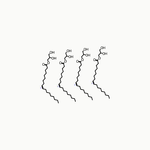 CCCCCCCC/C=C\CCCCCCCC(=O)OCC(O)CO.CCCCCCCC/C=C\CCCCCCCC(=O)OCC(O)CO.CCCCCCCC/C=C\CCCCCCCC(=O)OCC(O)CO.CCCCCCCC/C=C\CCCCCCCC(=O)OCC(O)CO